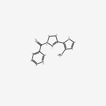 CCCCc1ccsc1C1=NN(C(=O)c2cccnc2)CC1